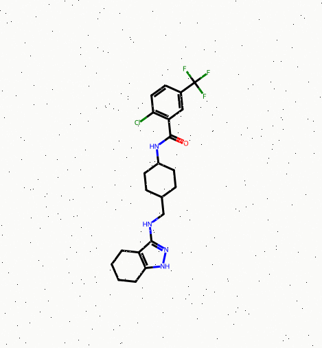 O=C(NC1CCC(CNc2n[nH]c3c2CCCC3)CC1)c1cc(C(F)(F)F)ccc1Cl